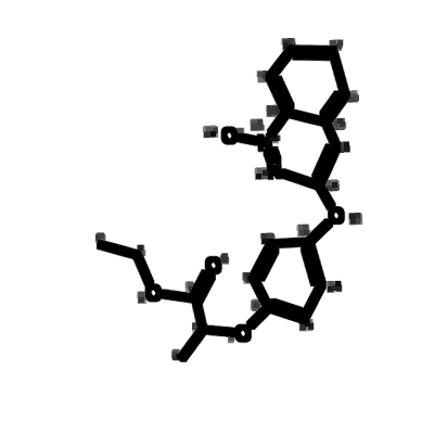 CCOC(=O)C(C)Oc1ccc(Oc2cc3ccccc3[n+]([O-])n2)cc1